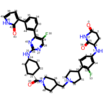 O=C1CCC(Nc2ccc(C3CCN(CC4CCN(C(=O)[C@H]5CC[C@H](Nc6ncc(F)c(-c7cccc(-c8ccc[nH]c8=O)c7)n6)CC5)CC4)CC3)c(F)c2)C(=O)N1